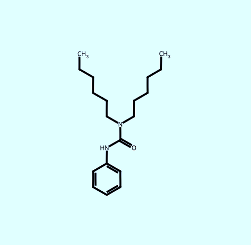 CCCCCCN(CCCCCC)C(=O)Nc1ccccc1